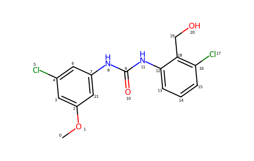 COc1cc(Cl)cc(NC(=O)Nc2cccc(Cl)c2CO)c1